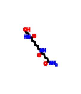 NC(=O)CCCC(=O)NCCCCCC(=O)NCCO